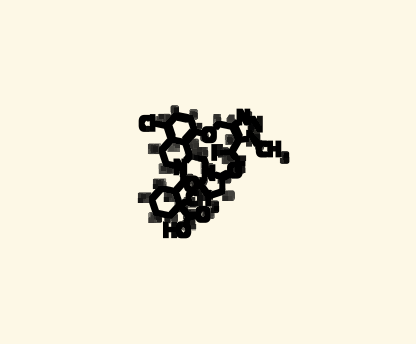 Cn1nnc(COc2ccc(Cl)c3c2[C@@H](CN2CCCC2=O)N(C(=O)C2CCCCC2(C)C(=O)O)CC3)c1C(F)F